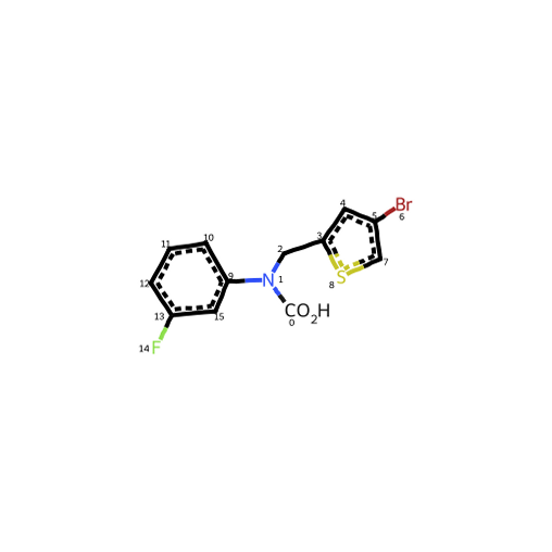 O=C(O)N(Cc1cc(Br)cs1)c1cccc(F)c1